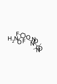 Cc1noc(C)c1-c1nc(COc2ccc(F)c(C(N)=O)c2F)no1